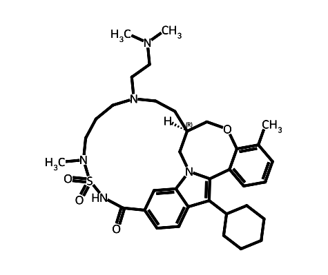 Cc1cccc2c1OC[C@@H]1CCN(CCN(C)C)CCCN(C)S(=O)(=O)NC(=O)c3ccc4c(C5CCCCC5)c-2n(c4c3)C1